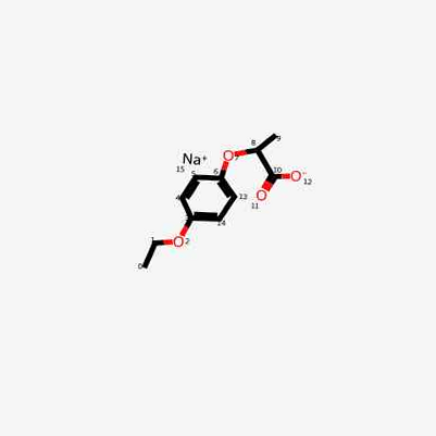 CCOc1ccc(OC(C)C(=O)[O-])cc1.[Na+]